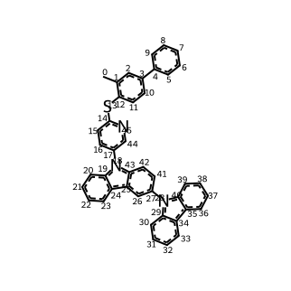 Cc1cc(-c2ccccc2)ccc1Sc1ccc(-n2c3ccccc3c3cc(-n4c5ccccc5c5ccccc54)ccc32)cn1